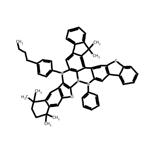 CCCCc1ccc(N2c3cc4c(c5c3B(c3oc6cc7c(cc6c32)C(C)(C)CCC7(C)C)N(c2ccccc2)c2cc3c(cc2-5)sc2ccccc23)C(C)(C)c2ccccc2-4)cc1